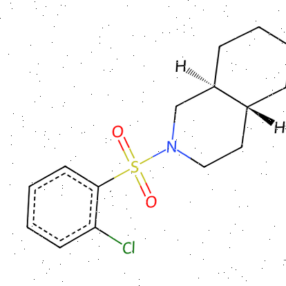 O=S(=O)(c1ccccc1Cl)N1CC[C@H]2CCCC[C@@H]2C1